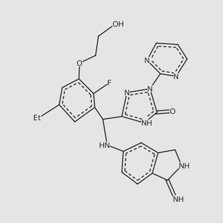 CCc1cc(OCCO)c(F)c(C(Nc2ccc3c(c2)CNC3=N)c2nn(-c3ncccn3)c(=O)[nH]2)c1